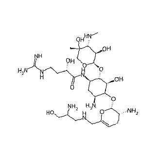 CN[C@@H]1[C@@H](O)[C@@H](O[C@H]2[C@H](NC(=O)[C@@H](O)CCNC(=N)N)C[C@H](N)C(O[C@H]3OC(CNCC(N)CO)=CC[C@H]3N)[C@@H]2O)OC[C@]1(C)O